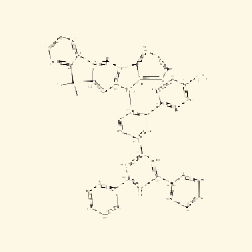 CC1(C)c2ccccc2-c2cc3c4ccccc4n(-c4ccc(-c5nc(-c6ccccc6)nc(-c6ccccc6)n5)cc4-c4ccc(C(F)(F)F)cc4)c3cc21